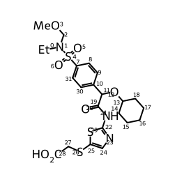 CCN(COC)S(=O)(=O)c1ccc(C(OC2CCCCC2)C(=O)Nc2ncc(SCC(=O)O)s2)cc1